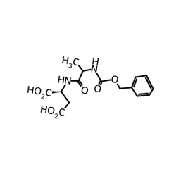 CC(NC(=O)OCc1ccccc1)C(=O)N[C@@H](CC(=O)O)C(=O)O